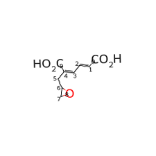 O=C(O)C=CC=C(CC1CO1)C(=O)O